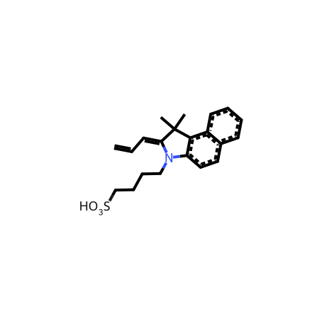 C=C/C=C1\N(CCCCS(=O)(=O)O)c2ccc3ccccc3c2C1(C)C